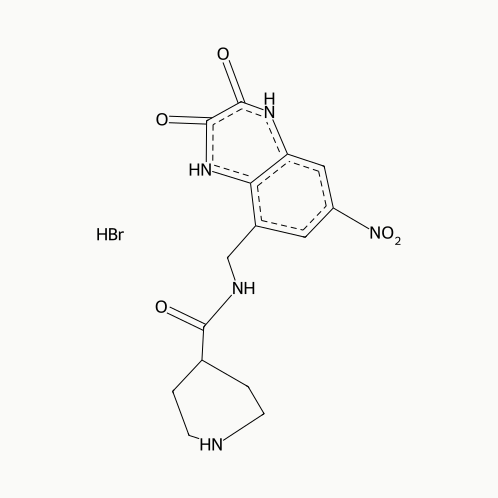 Br.O=C(NCc1cc([N+](=O)[O-])cc2[nH]c(=O)c(=O)[nH]c12)C1CCNCC1